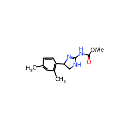 COC(=O)NC1=NC(c2ccc(C)cc2C)CN1